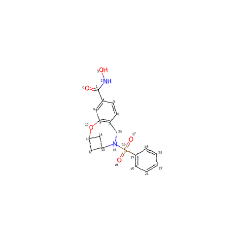 O=C(NO)c1ccc2c(c1)OC1CC(C1)N(S(=O)(=O)c1ccccc1)C2